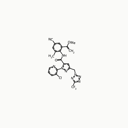 C=C(OC)c1cc(C#N)cc(C)c1NC(=O)c1cc(Cn2nnc(C(F)(F)F)n2)nn1-c1ncccc1Cl